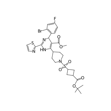 COC(=O)C1=C(C2CCN(S(=O)(=O)C3CC(C(=O)OC(C)(C)C)C3)CC2)NC(c2nccs2)=NC1c1ccc(F)cc1Br